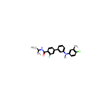 CCN(c1cccc(-c2ccc(C(=O)NC(C)C(=O)O)c(F)c2)c1)c1ccc(Cl)c(C)c1